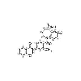 Cc1cc(NC(=O)c2ccccc2Cl)ccc1C(=O)N1CCCC2(CN2)c2cc(Cl)ccc21